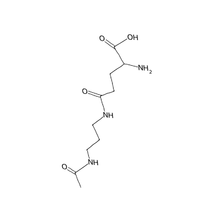 CC(=O)NCCCNC(=O)CCC(N)C(=O)O